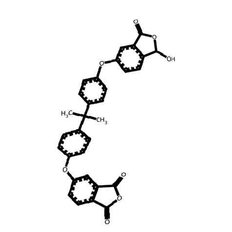 CC(C)(c1ccc(Oc2ccc3c(c2)C(=O)OC3=O)cc1)c1ccc(Oc2ccc3c(c2)C(=O)OC3O)cc1